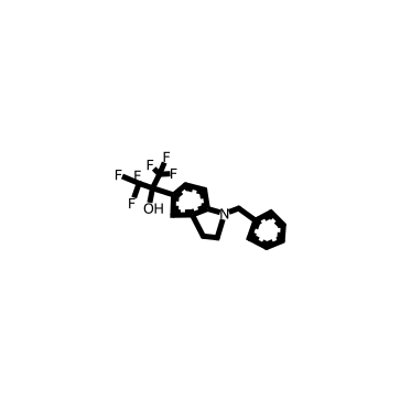 OC(c1ccc2c(c1)CCN2Cc1ccccc1)(C(F)(F)F)C(F)(F)F